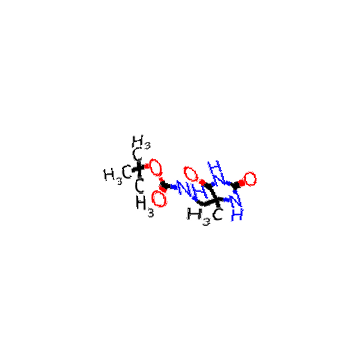 CC(C)(C)OC(=O)NCC1(C)NC(=O)NC1=O